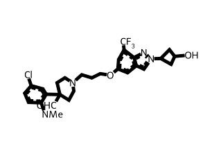 CNc1ccc(Cl)cc1C1(C=O)CCN(CCCOc2cc(C(F)(F)F)c3nn(C4CC(O)C4)cc3c2)CC1